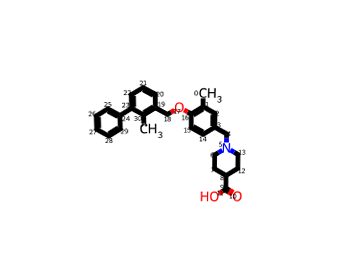 Cc1cc(CN2CCC(C(=O)O)CC2)ccc1OCc1cccc(-c2ccccc2)c1C